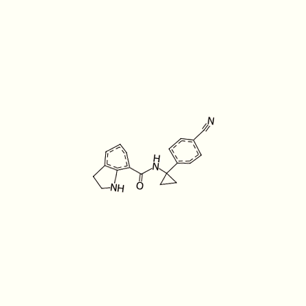 N#Cc1ccc(C2(NC(=O)c3cccc4c3NCC4)CC2)cc1